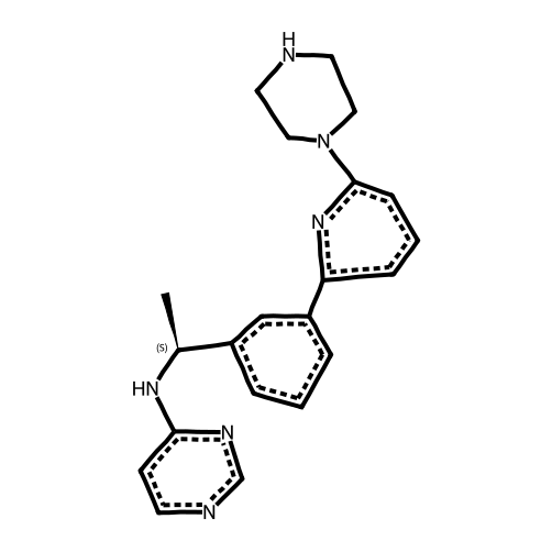 C[C@H](Nc1ccncn1)c1cccc(-c2cccc(N3CCNCC3)n2)c1